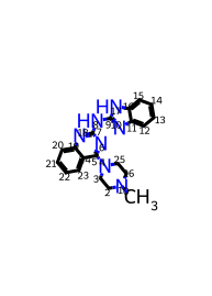 CN1CCN(c2nc(Nc3nc4ccccc4[nH]3)nc3ccccc23)CC1